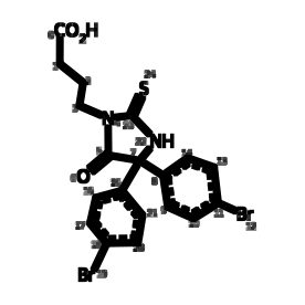 O=C(O)CCCN1C(=O)C(c2ccc(Br)cc2)(c2ccc(Br)cc2)NC1=S